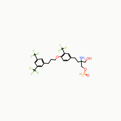 NC(CO)(CCc1ccc(OCCCc2cc(C(F)(F)F)cc(C(F)(F)F)c2)c(C(F)(F)F)c1)CO[PH2]=O